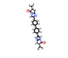 CC(C)C1Cc2nc(-c3ccc(-c4ccc(-c5cn6c(n5)C[C@H](C(C)C)C6=O)cc4)cc3)cn2C1=O